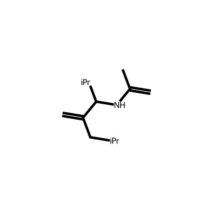 C=C(C)NC(C(=C)CC(C)C)C(C)C